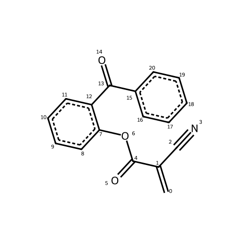 C=C(C#N)C(=O)Oc1ccccc1C(=O)c1ccccc1